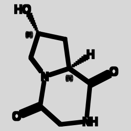 O=C1NCC(=O)N2C[C@H](O)C[C@@H]12